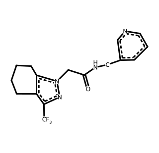 O=C(Cn1nc(C(F)(F)F)c2c1CCCC2)NCc1cccnc1